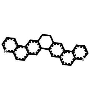 c1cnc2ccc3cc4c(cc3c2c1)CCc1cc2c(ccc3ncccc32)cc1-4